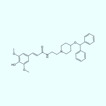 COc1cc(C=CC(=O)NCCN2CCC(OC(c3ccccc3)c3ccccc3)CC2)cc(OC)c1O